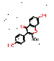 CCCCc1oc2cc(O)ccc2c(=O)c1-c1ccc(O)cc1